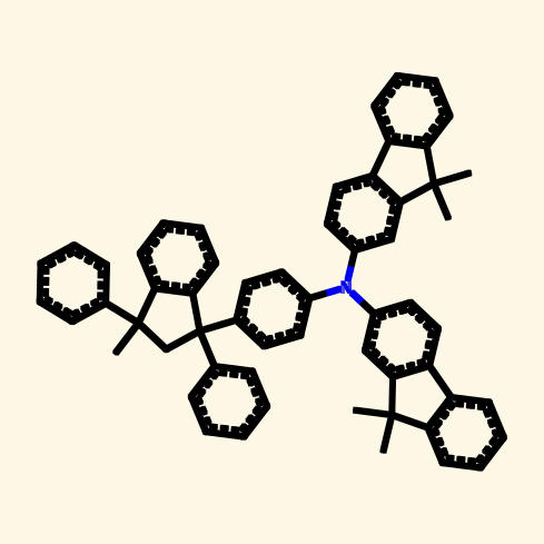 CC1(C)c2ccccc2-c2ccc(N(c3ccc(C4(c5ccccc5)CC(C)(c5ccccc5)c5ccccc54)cc3)c3ccc4c(c3)C(C)(C)c3ccccc3-4)cc21